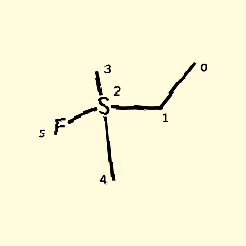 CCS(C)(C)F